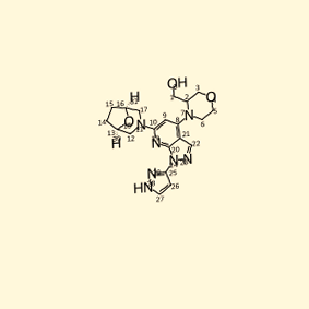 OCC1COCCN1c1cc(N2C[C@H]3CC[C@@H](C2)O3)nc2c1cnn2-c1cc[nH]n1